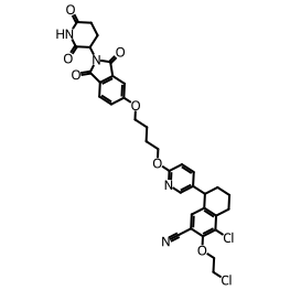 N#Cc1cc2c(c(Cl)c1OCCCl)CCCC2c1ccc(OCCCCOc2ccc3c(c2)C(=O)N(C2CCC(=O)NC2=O)C3=O)nc1